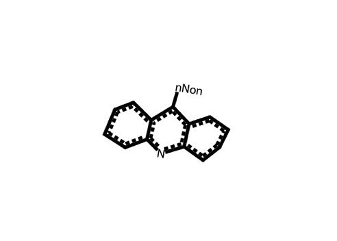 CCCCCCCCCc1c2ccccc2nc2ccccc12